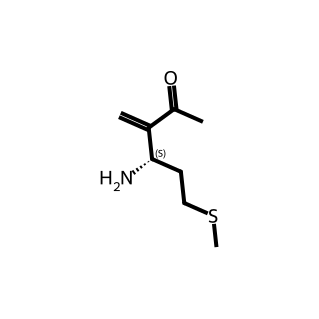 C=C(C(C)=O)[C@@H](N)CCSC